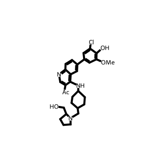 COc1cc(-c2ccc3ncc(C(C)=O)c(NC4CCC(CN5CCCC5CO)CC4)c3c2)cc(Cl)c1O